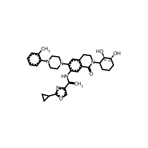 C=C(Nc1cc2c(cc1N1CCN(c3ccccc3C)CC1)CCN(C1CCC[C@H](O)[C@@H]1O)C2=O)c1coc(C2CC2)n1